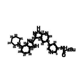 CC(C)(C)C(=O)Nc1cncc(-c2cnc3[nH]nc(-c4nc5c(N6CCCCC6)cccc5[nH]4)c3c2)c1